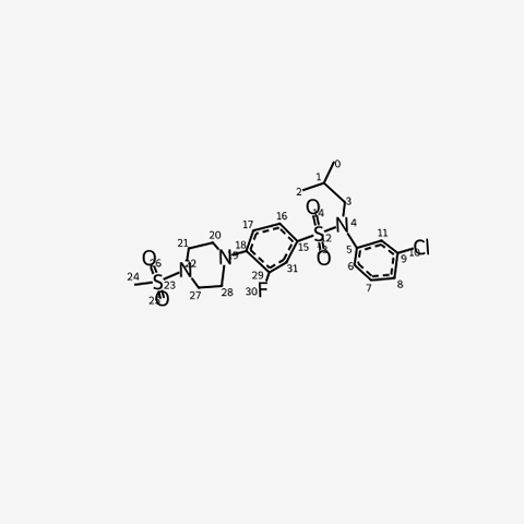 CC(C)CN(c1cccc(Cl)c1)S(=O)(=O)c1ccc(N2CCN(S(C)(=O)=O)CC2)c(F)c1